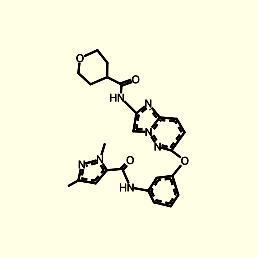 Cc1cc(C(=O)Nc2cccc(Oc3ccc4nc(NC(=O)C5CCOCC5)cn4n3)c2)n(C)n1